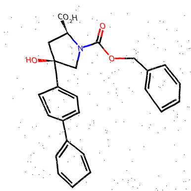 O=C(O)[C@@H]1C[C@@](O)(c2ccc(-c3ccccc3)cc2)CN1C(=O)OCc1ccccc1